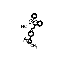 Cc1cc(C2CCN(CCC(NS(=O)(=O)c3ccccc3)c3ccccc3)CC2)n(C)n1.Cl